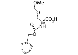 COCOC[C@H](NC(=O)OCc1ccccc1)C(=O)O